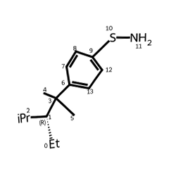 CC[C@H](C(C)C)C(C)(C)c1ccc(SN)cc1